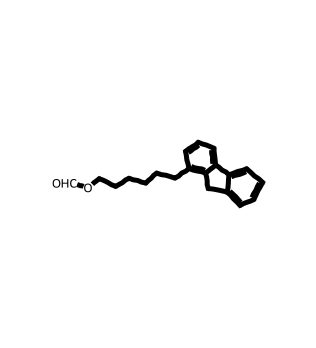 O=COCCCCCCc1cccc2c1Cc1ccccc1-2